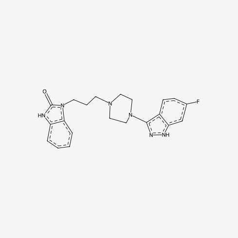 O=c1[nH]c2ccccc2n1CCCN1CCN(c2n[nH]c3cc(F)ccc23)CC1